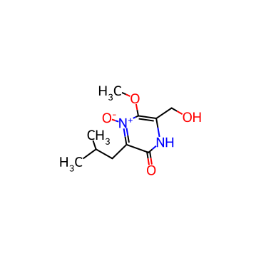 COc1c(CO)[nH]c(=O)c(CC(C)C)[n+]1[O-]